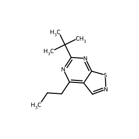 CCCc1nc(C(C)(C)C)nc2sncc12